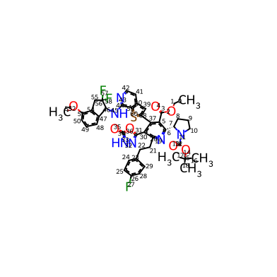 CCOC(=O)c1c([C@@H]2CCCN2C(=O)OC(C)(C)C)nc(CCc2ccc(F)cc2)c(-c2n[nH]c(=O)o2)c1-c1cc2ccnc(N[C@H]3c4cccc(OC)c4CC3(F)F)c2s1